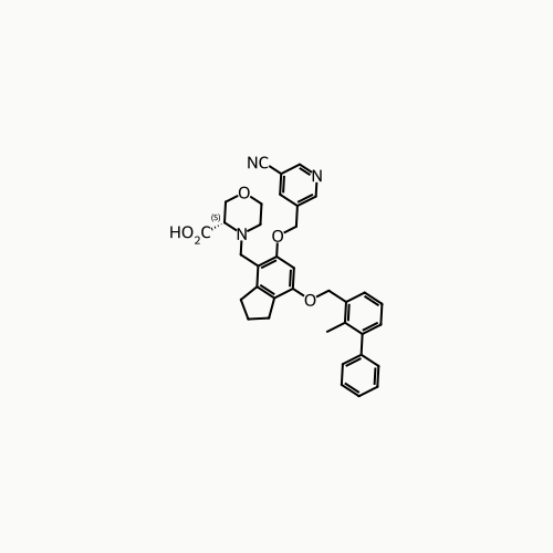 Cc1c(COc2cc(OCc3cncc(C#N)c3)c(CN3CCOC[C@H]3C(=O)O)c3c2CCC3)cccc1-c1ccccc1